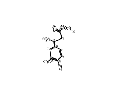 NC(=O)CC(N)c1ccc(Cl)c(Cl)c1